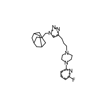 Fc1cccc(N2CCN(CCCc3cn(CC45CC6CC(CC(C6)C4)C5)nn3)CC2)n1